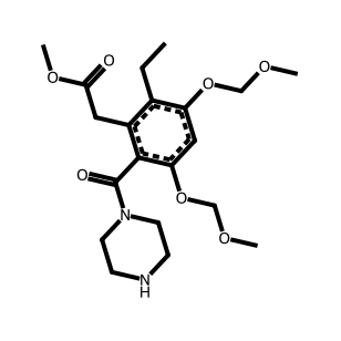 CCc1c(OCOC)cc(OCOC)c(C(=O)N2CCNCC2)c1CC(=O)OC